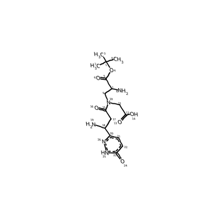 CC(C)(C)OC(=O)C(N)CN(CC(=O)O)C(=O)CC(N)c1ccc(=O)[nH]n1